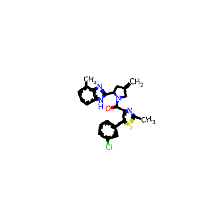 C=C1CC(c2nc3c(C)cccc3[nH]2)N(C(=O)c2nc(C)sc2-c2cccc(Cl)c2)C1